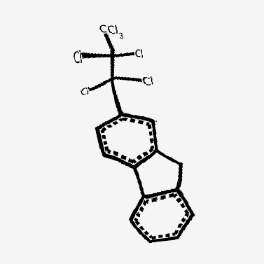 ClC(Cl)(Cl)C(Cl)(Cl)C(Cl)(Cl)c1[c]c2c(cc1)-c1ccccc1C2